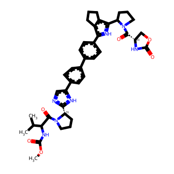 COC(=O)NC(C(=O)N1CCC[C@H]1c1ncc(-c2ccc(-c3ccc(-c4[nH]c(C5CCCN5C(=O)[C@@H]5COC(=O)N5)c5c4CCC5)cc3)cc2)[nH]1)C(C)C